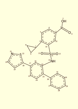 O=C(O)c1ccc(C2CC2)c(S(=O)(=O)Nc2cc(-c3ccns3)ccc2-c2ccccc2)c1